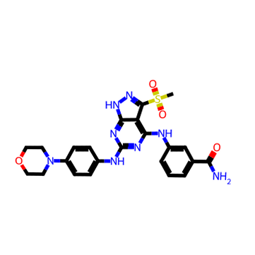 CS(=O)(=O)c1n[nH]c2nc(Nc3ccc(N4CCOCC4)cc3)nc(Nc3cccc(C(N)=O)c3)c12